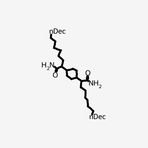 CCCCCCCCCCCCCCCCC(C(N)=O)C1CCC(C(CCCCCCCCCCCCCCCC)C(N)=O)CC1